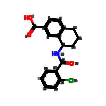 O=C(O)c1ccc2c(c1)C(NC(=O)c1ccccc1Cl)CCC2